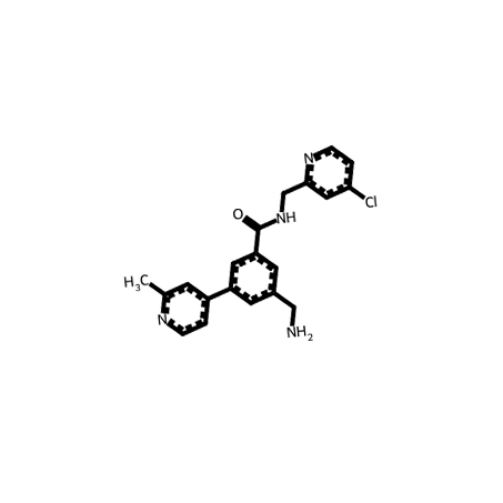 Cc1cc(-c2cc(CN)cc(C(=O)NCc3cc(Cl)ccn3)c2)ccn1